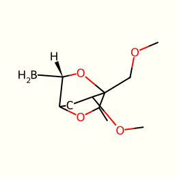 B[C@@H]1OC2(COC)C(C)OC1CC2OC